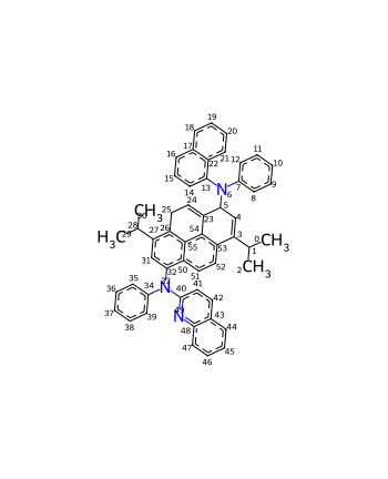 CC(C)C1=CC(N(c2ccccc2)c2cccc3ccccc23)C2=CCc3c(C(C)C)cc(N(c4ccccc4)c4ccc5ccccc5n4)c4ccc1c2c34